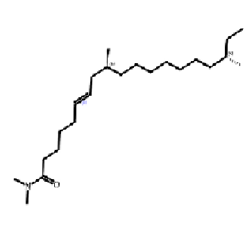 CC[C@H](C)CCCCCCC[C@H](C)C/C=C/CCCCC(=O)N(C)C